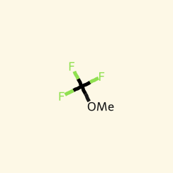 [C]OC(F)(F)F